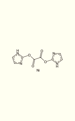 O=C(Oc1ncc[nH]1)C(=O)Oc1ncc[nH]1.[Ni]